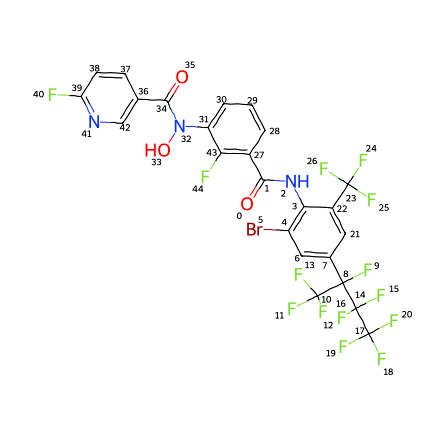 O=C(Nc1c(Br)cc(C(F)(C(F)(F)F)C(F)(F)C(F)(F)F)cc1C(F)(F)F)c1cccc(N(O)C(=O)c2ccc(F)nc2)c1F